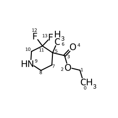 CCOC(=O)C1(C)CCNCC1(F)F